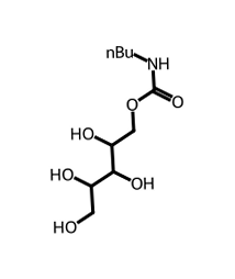 CCCCNC(=O)OCC(O)C(O)C(O)CO